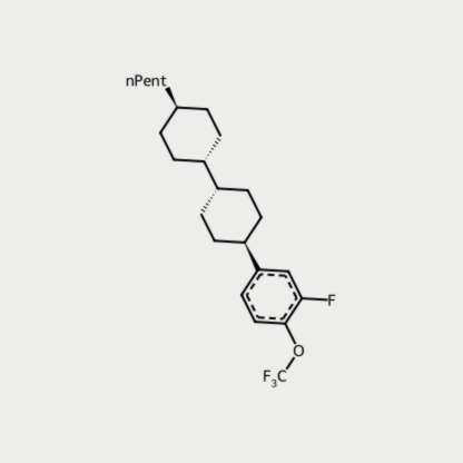 CCCCC[C@H]1CC[C@H]([C@H]2CC[C@H](c3ccc(OC(F)(F)F)c(F)c3)CC2)CC1